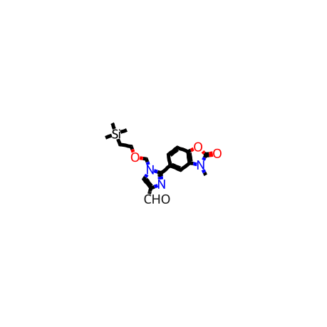 Cn1c(=O)oc2ccc(-c3nc(C=O)cn3COCC[Si](C)(C)C)cc21